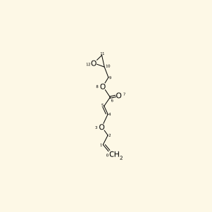 C=CCOC=CC(=O)OCC1CO1